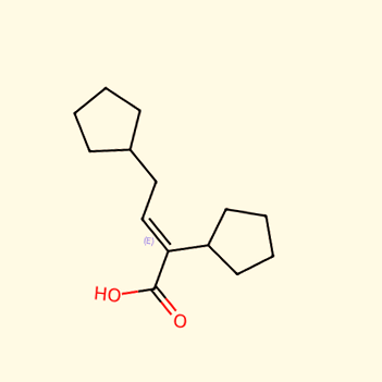 O=C(O)/C(=C/CC1CCCC1)C1CCCC1